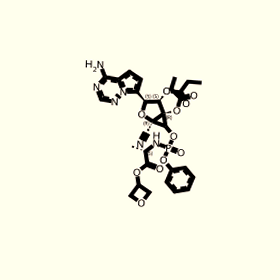 CCC(=O)O[C@H]1[C@H](c2ccc3c(N)ncnn23)O[C@]2(C#N)C(OP(=O)(N[C@@H](C)C(=O)OC3COC3)Oc3ccccc3)[C@]12OC(=O)CC